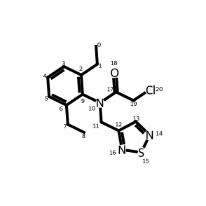 CCc1cccc(CC)c1N(Cc1cnsn1)C(=O)CCl